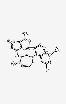 Cc1cc2c(N3CCN[C@@H](C)CC3)c(C(=O)N[C@@H](C)c3cc(Cl)cc(Cl)c3)cnc2c(C2CC2)n1